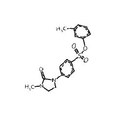 Cc1cccc(OS(=O)(=O)c2ccc(N3CCN(C)C3=O)cc2)c1